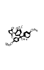 COc1ccc(C(O)(c2ccc(OC)cc2)c2ccc(C(=O)O)c(N3C(=O)CCC3=O)c2)cc1